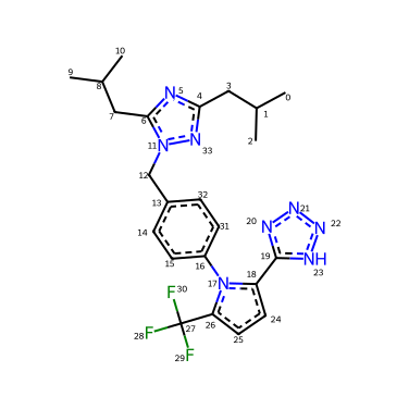 CC(C)Cc1nc(CC(C)C)n(Cc2ccc(-n3c(-c4nnn[nH]4)ccc3C(F)(F)F)cc2)n1